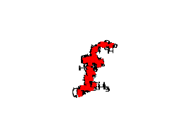 CC1(C)CCC(c2ccc(Cl)cc2)=C(CN2CCN(c3ccc(C(=O)NS(=O)(=O)c4ccc(N[C@H](CCN5C[C@H]6C[C@@H]5CN6Cc5ccc6c(c5)CN(C5CCC(=O)NC5=O)C6=O)CSc5ccccc5)c(S(=O)(=O)C(F)(F)F)c4)cc3)CC2)C1